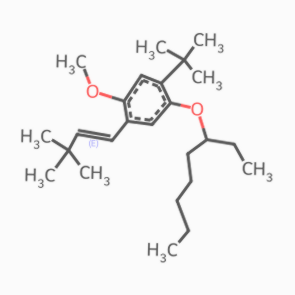 CCCCCC(CC)Oc1cc(/C=C/C(C)(C)C)c(OC)cc1C(C)(C)C